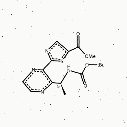 COC(=O)c1cnc(-c2nccnc2[C@H](C)NC(=O)OC(C)(C)C)s1